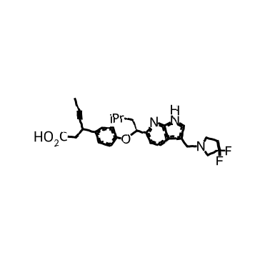 CC#CC(CC(=O)O)c1ccc(O[C@@H](CC(C)C)c2ccc3c(CN4CCC(F)(F)C4)c[nH]c3n2)cc1